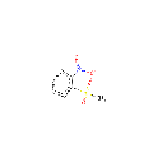 CS(=O)(=O)c1ccc[c]c1[N+](=O)[O-]